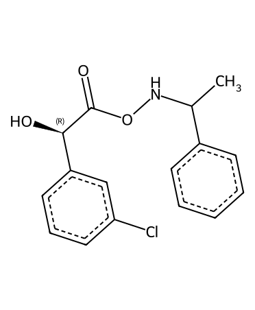 CC(NOC(=O)[C@H](O)c1cccc(Cl)c1)c1ccccc1